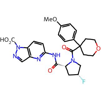 COc1ccc(C2(C(=O)N3C[C@H](F)C[C@@H]3C(=O)Nc3ccc4c(cnn4C(=O)O)n3)CCOCC2)cc1